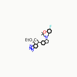 CCOC(=O)CC(c1ccc2c(c1)C(N1Cc3ccc(F)cc3OC(C)(C)C1)CC2)c1ccc2c(nnn2C)c1C